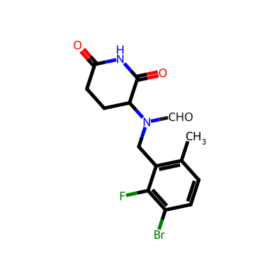 Cc1ccc(Br)c(F)c1CN(C=O)C1CCC(=O)NC1=O